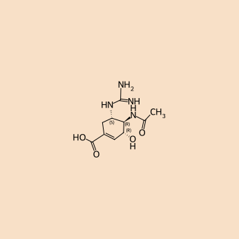 CC(=O)N[C@H]1[C@H](O)C=C(C(=O)O)C[C@@H]1NC(=N)N